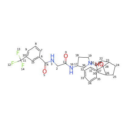 O=C(CNC(=O)c1cccc(C(F)(F)F)c1)NC1CCN(C2CC3CCC(C2)C3(O)c2ccccc2)C1